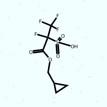 O=C(OCC1CC1)C(F)(C(F)(F)F)S(=O)(=O)O